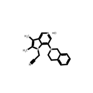 Cc1c(C)n(CC#N)c2c(N3CCc4ccccc4C3)cncc12.Cl